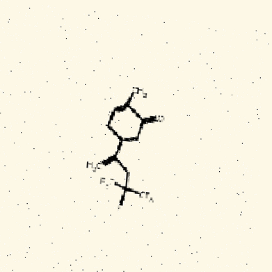 C=C(CC(F)(C(F)(F)F)C(F)(F)F)C1CC=C(C)C(=O)C1